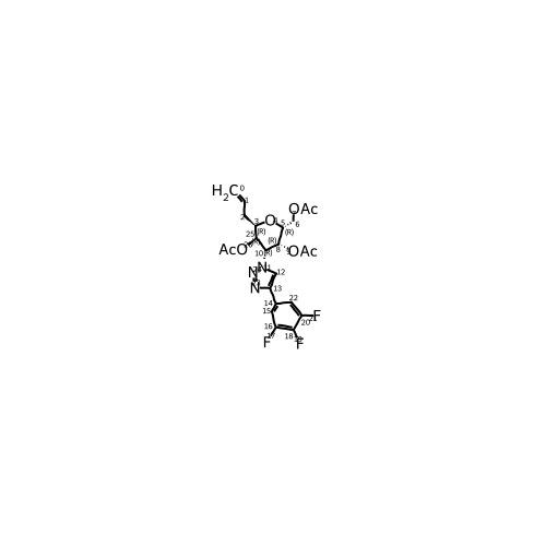 C=CC[C@H]1O[C@H](COC(C)=O)[C@H](OC(C)=O)[C@H](n2cc(-c3cc(F)c(F)c(F)c3)nn2)[C@H]1OC(C)=O